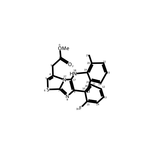 COC(=O)Cc1csc2nc(-c3ccccc3F)c(Nc3c(C)cccc3Cl)n12